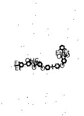 CCC(C)(CC)c1ccc(-c2ccc(NC(=O)c3cc(Oc4ccc(C(C)(C)c5ccc(Oc6ccc7c(c6)C(=O)N(C(CC)(CC)c6c(C)cccc6C)C7=O)cc5)cc4)ccc3C=O)c(C)c2)cc1C